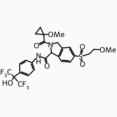 COCCS(=O)(=O)c1ccc2c(c1)CN(C(=O)C1(OC)CC1)C2C(=O)Nc1ccc(C(O)(C(F)(F)F)C(F)(F)F)cc1